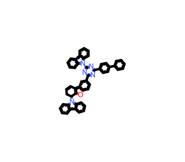 C1=Cc2c(oc3ccc(-c4nc(-c5ccc(-c6ccccc6)cc5)nc(-n5c6ccccc6c6ccccc65)n4)cc23)C(n2c3ccccc3c3ccccc32)C1